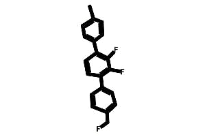 Cc1ccc(-c2ccc(-c3ccc(CF)cc3)c(F)c2F)cc1